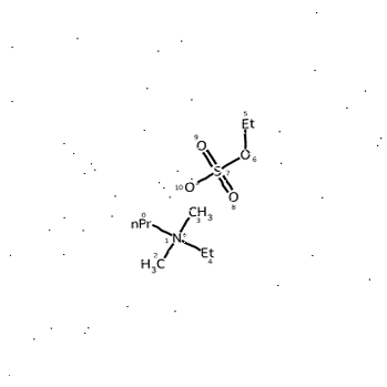 CCC[N+](C)(C)CC.CCOS(=O)(=O)[O-]